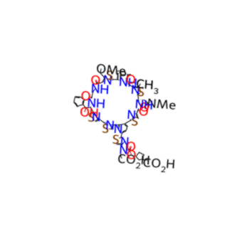 CNC(=O)C[C@@H]1NC(=O)c2csc(n2)-c2ccc(-c3nc(N(CC(=O)O)C(=O)OC4CC[C@H](C(=O)O)C4)cs3)nc2-c2csc(n2)-c2csc(n2)[C@H]([C@@H](O)c2ccccc2)NC(=O)CNC(=O)c2nc(sc2COC)C(C(C)C)NC(=O)c2nc1sc2C